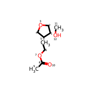 C1CCOC1.CCOC(C)=O.CO